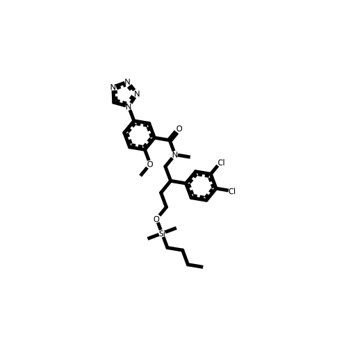 CCCC[Si](C)(C)OCCC(CN(C)C(=O)c1cc(-n2cnnn2)ccc1OC)c1ccc(Cl)c(Cl)c1